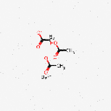 CC(=O)O.CC(=O)[O-].CC(=O)[O-].[Dy+2]